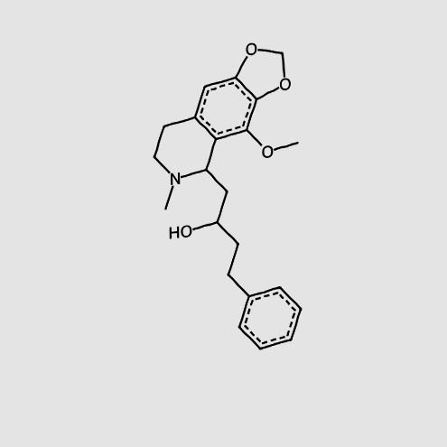 COc1c2c(cc3c1C(CC(O)CCc1ccccc1)N(C)CC3)OCO2